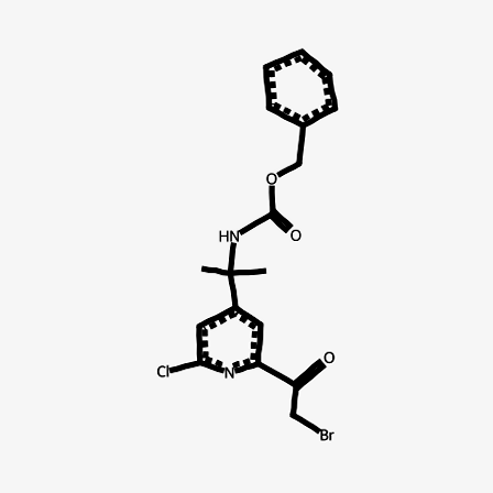 CC(C)(NC(=O)OCc1ccccc1)c1cc(Cl)nc(C(=O)CBr)c1